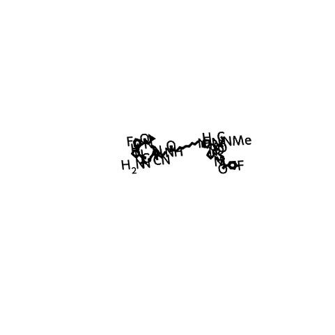 CN[C@H](C)C(=O)N[C@@H](C(=O)N1CCC[C@@H]1C1=NC(C(=O)c2ccc(F)cc2)CS1)C1CCN(CCCCCCCCC(=O)NCCn2nc3c(c2C#N)-c2cnc(N)c(c2)N2CCC[C@@H]2c2cc(F)ccc2C(=O)N(C2CC2)C3)CC1